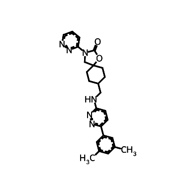 Cc1cc(C)cc(-c2ccc(NCC3CCC4(CC3)CN(c3cccnn3)C(=O)O4)nn2)c1